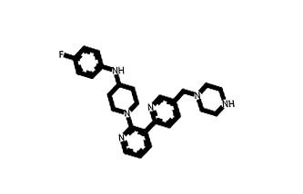 Fc1ccc(NC2CCN(c3ncccc3-c3ccc(CN4CCNCC4)cn3)CC2)cc1